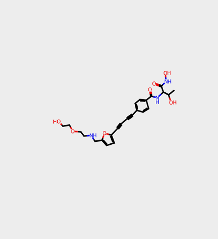 CC(O)C(NC(=O)c1ccc(C#CC#Cc2ccc(CNCCOCCO)o2)cc1)C(=O)NO